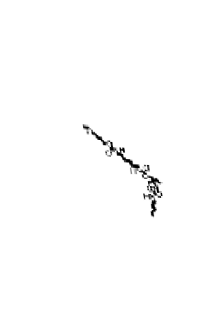 C=COCCCCOC(=O)NCCCCCCNC(=O)OCC(CC)(CO)COC(=O)NCCCCC